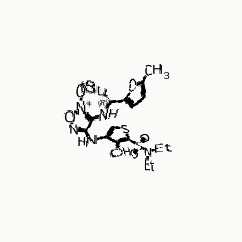 CCN(CC)S(=O)(=O)c1scc(Nc2no[n+]([O-])c2N[C@@H](c2ccc(C)o2)C(C)(C)C)c1O